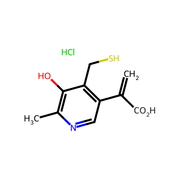 C=C(C(=O)O)c1cnc(C)c(O)c1CS.Cl